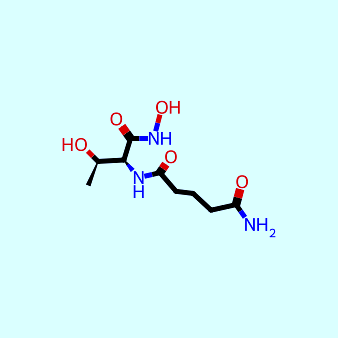 C[C@@H](O)[C@H](NC(=O)CCCC(N)=O)C(=O)NO